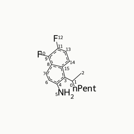 CCCCCC(C)c1c(N)ccc2c(F)c(F)ccc12